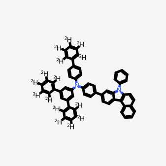 [2H]c1c([2H])c([2H])c(-c2ccc(N(c3ccc(-c4ccc5c6c7ccccc7ccc6n(-c6ccccc6)c5c4)cc3)c3cc(-c4c([2H])c([2H])c([2H])c([2H])c4[2H])cc(-c4c([2H])c([2H])c([2H])c([2H])c4[2H])c3)cc2)c([2H])c1[2H]